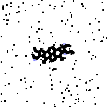 C=C/C=c1\c(=C/C)nc2c3ccc4c5c(ccc(c(=O)n12)c35)c(=O)n1c(/C=C\C)c(C=C)nc41